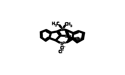 CC(C)(C)C1=C2c3ccccc3[CH]1[Ti+2][CH]1C(C(C)(C)C)=C(c3ccccc31)[Si]2(C)C.[Cl-].[Cl-]